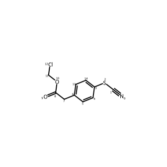 N#CSc1ccc(CC(=O)OCCl)cc1